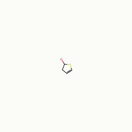 [O]C1CC=CS1